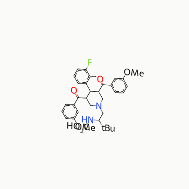 COc1cccc(C(=O)C2CN(CC(NC(=O)O)C(C)(C)C)CC(C(=O)c3cccc(OC)c3)C2c2cccc(F)c2C)c1